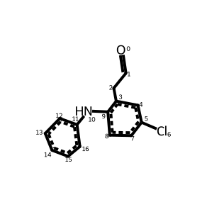 O=CCc1cc(Cl)ccc1Nc1ccccc1